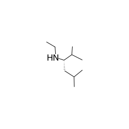 CCN[C@@H](CC(C)C)C(C)C